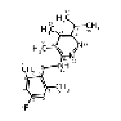 Cc1cc(F)cc(C)c1CNc1nnc(C(C)C)c(C)c1C